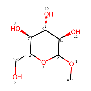 [CH2]OC1O[C@H](CO)[C@@H](O)[C@H](O)[C@H]1O